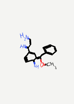 CO/C(=C1/C=C(C(=N)/C=C\N)C=CC1=N)c1ccccc1